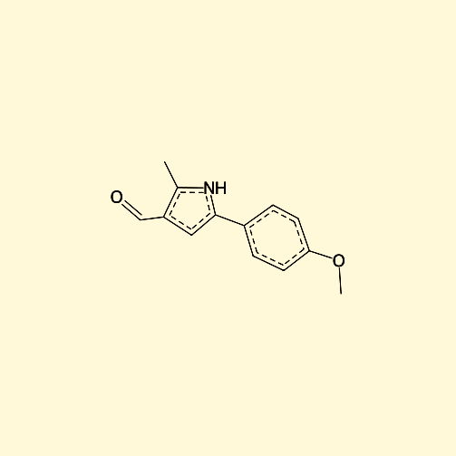 COc1ccc(-c2cc(C=O)c(C)[nH]2)cc1